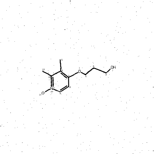 Cc1c(OCCCO)cc[n+]([O-])c1C